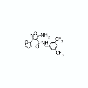 Nc1onc(-c2ccco2)c1C(=O)NCc1cc(C(F)(F)F)cc(C(F)(F)F)c1